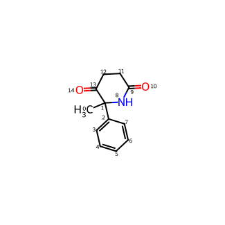 CC1(c2ccccc2)NC(=O)CCC1=O